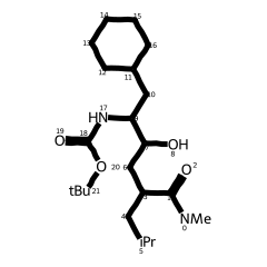 CNC(=O)C(CC(C)C)CC(O)C(CC1CCCCC1)NC(=O)OC(C)(C)C